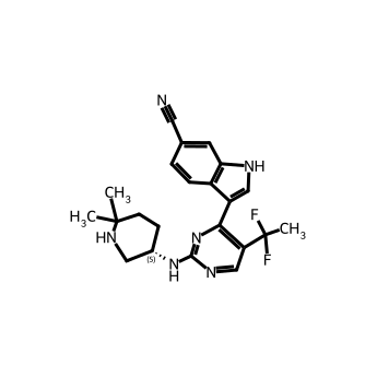 CC1(C)CC[C@H](Nc2ncc(C(C)(F)F)c(-c3c[nH]c4cc(C#N)ccc34)n2)CN1